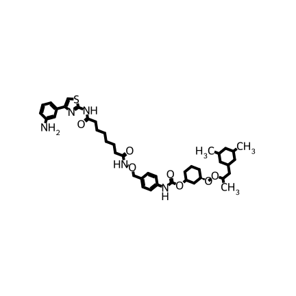 CC1CC(C)CC(CC(C)OO[C@@H]2CCCC(OC(=O)Nc3ccc(CONC(=O)CCCCCCC(=O)Nc4nc(-c5cccc(N)c5)cs4)cc3)C2)C1